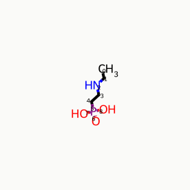 CCNCCP(=O)(O)O